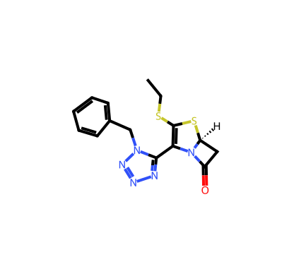 CCSC1=C(c2nnnn2Cc2ccccc2)N2C(=O)C[C@@H]2S1